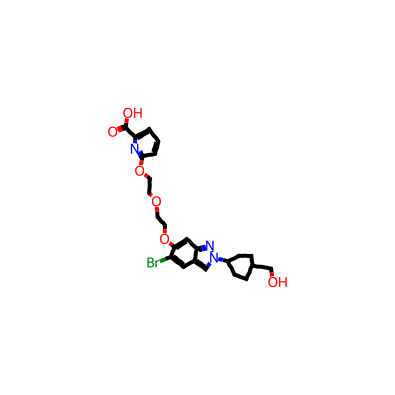 O=C(O)c1cccc(OCCOCCOc2cc3nn(C4CCC(CO)CC4)cc3cc2Br)n1